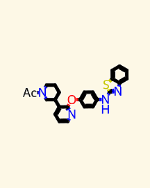 CC(=O)N1CCCC(c2cccnc2Oc2ccc(Nc3nc4ccccc4s3)cc2)C1